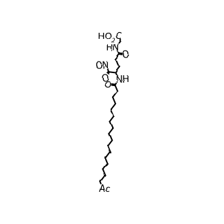 CC(=O)CCCCCCCCCCCCCCCCC(=O)NC(CCC(=O)NCC(=O)O)C(=O)N=O